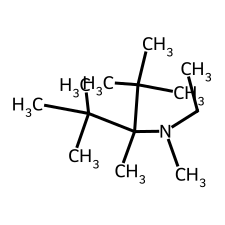 CCN(C)C(C)(C(C)(C)C)C(C)(C)C